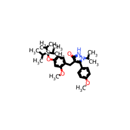 COc1ccc(-c2c(Cc3ccc(O[Si](C(C)C)(C(C)C)C(C)C)cc3OC)c(=O)[nH]n2C(C)C)cc1